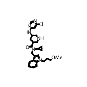 COCCCn1cc(CN(C(=O)C2CNCC(Nc3cc(Cl)ncn3)C2)C2CC2)c2ccccc21